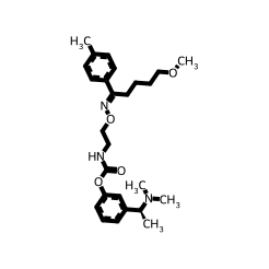 COCCCC/C(=N\OCCNC(=O)Oc1cccc([C@H](C)N(C)C)c1)c1ccc(C)cc1